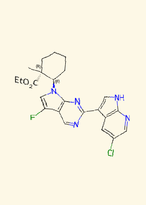 CCOC(=O)[C@]1(C)CCCC[C@H]1n1cc(F)c2cnc(-c3c[nH]c4ncc(Cl)cc34)nc21